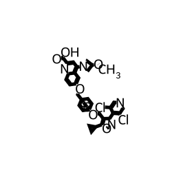 COC1CN(c2cc(C(=O)O)nc3ccc(OCC45CCC(OCc6c(-c7c(Cl)cncc7Cl)noc6C6CC6)(CC4)CC5)cc23)C1